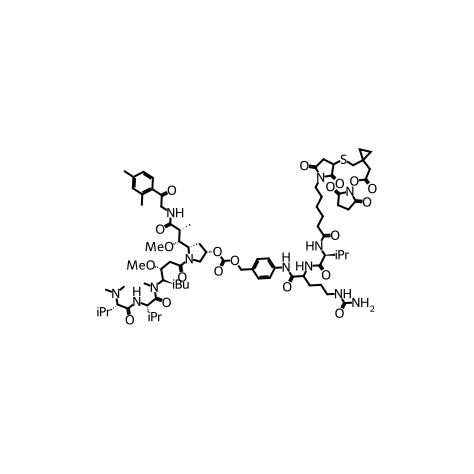 CC[C@H](C)C([C@@H](CC(=O)N1C[C@@H](OC(=O)OCc2ccc(NC(=O)C(CCCNC(N)=O)NC(=O)[C@@H](NC(=O)CCCCCN3C(=O)CC(SCC4(CC(=O)ON5C(=O)CCC5=O)CC4)C3=O)C(C)C)cc2)C[C@H]1[C@H](OC)[C@@H](C)C(=O)NCC(=O)c1ccc(C)cc1C)OC)N(C)C(=O)[C@@H](NC(=O)[C@H](C(C)C)N(C)C)C(C)C